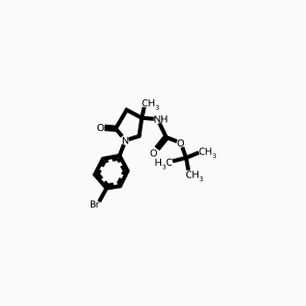 CC1(NC(=O)OC(C)(C)C)CC(=O)N(c2ccc(Br)cc2)C1